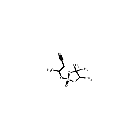 CC(CC#N)OP1(=O)OC(C)C(C)(C)O1